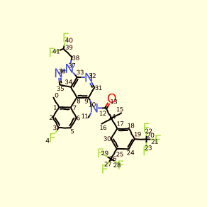 Cc1cc(F)ccc1-c1c(N(C)C(=O)C(C)(C)c2cc(C(F)(F)F)cc(C(F)(F)F)c2)cnc2c1cnn2CC(F)F